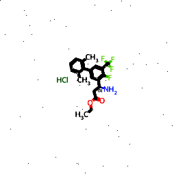 CCOC(=O)C[C@H](N)c1cc(-c2c(C)cccc2C)cc(C(F)(F)F)c1F.Cl